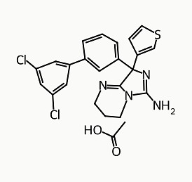 CC(=O)O.NC1=NC(c2ccsc2)(c2cccc(-c3cc(Cl)cc(Cl)c3)c2)C2=NCCCN12